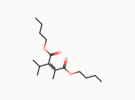 CCCCOC(=O)/C(C)=C(\C(=O)OCCCC)C(C)C